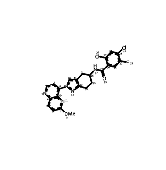 COc1ccc2nccc(-n3cc4c(n3)CCC(NC(=O)c3cc(F)c(Cl)cc3Cl)C4)c2n1